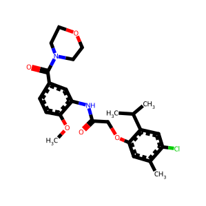 COc1ccc(C(=O)N2CCOCC2)cc1NC(=O)COc1cc(C)c(Cl)cc1C(C)C